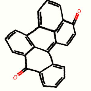 O=c1ccc2c3c1cccc3c1cccc3c(=O)c4ccccc4c2c31